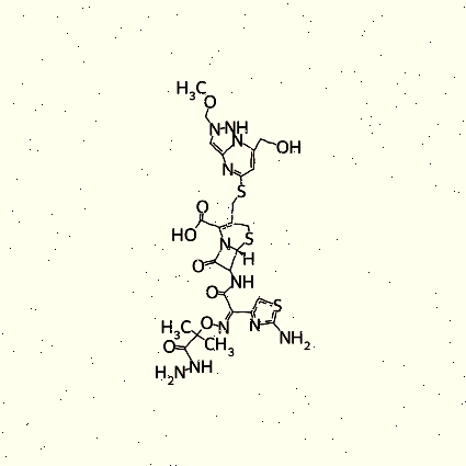 COCN1C=C2N=C(SCC3=C(C(=O)O)N4C(=O)C(NC(=O)/C(=N\OC(C)(C)C(=O)NN)c5csc(N)n5)[C@H]4SC3)C=C(CO)N2N1